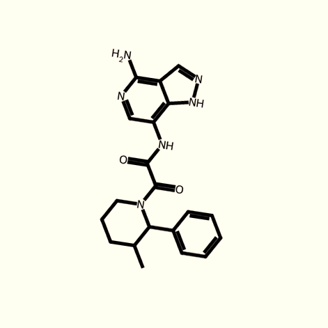 CC1CCCN(C(=O)C(=O)Nc2cnc(N)c3cn[nH]c23)C1c1ccccc1